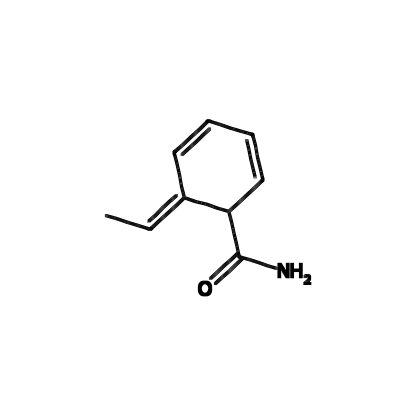 C/C=C1\C=CC=CC1C(N)=O